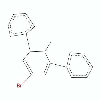 CC1C(c2ccccc2)=CC(Br)=CC1c1ccccc1